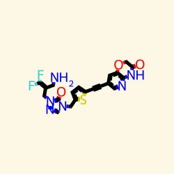 NCC(Cn1ncn(Cc2ccc(C#Cc3cnc4c(c3)OCC(=O)N4)s2)c1=O)=C(F)F